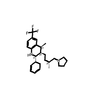 C[C@H](CC[C@@H]1[C@H](C)c2cc(C(F)(F)F)ccc2N[C@H]1C1C=CC=CC1)CN1CCCC1